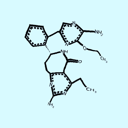 CCOc1nc(-c2ccccc2[C@H]2Cc3nc(N)nc(CC)c3C(=O)N2)cnc1N